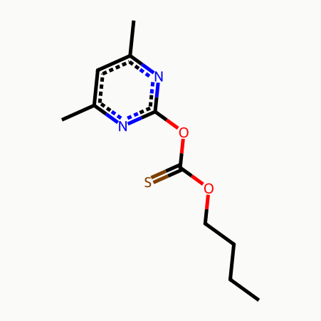 CCCCOC(=S)Oc1nc(C)cc(C)n1